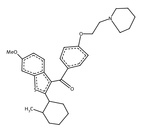 COc1ccc2c(C(=O)c3ccc(OCCN4CCCCC4)cc3)c(C3CCCCC3C)sc2c1